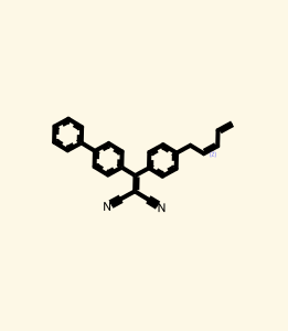 C=C/C=C\Cc1ccc(C(=C(C#N)C#N)c2ccc(-c3ccccc3)cc2)cc1